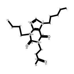 CCCCCn1cnc2c1c(=O)n(CCC(C)=O)c(=O)n2CCCC